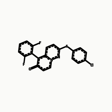 O=c1ccn2nc(Sc3ccc(Cl)cc3)ccc2c1-c1c(F)cccc1F